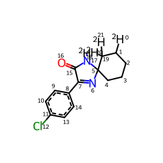 [2H]C1CCCC2(N=C(c3ccc(Cl)cc3)C(=O)N2[2H])C1([2H])[2H]